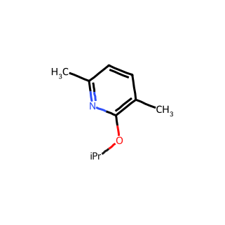 Cc1ccc(C)c(OC(C)C)n1